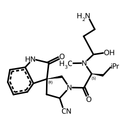 CC(C)C[C@@H](C(=O)N1C[C@]2(CC1C#N)C(=O)Nc1ccccc12)N(C)C(O)CCN